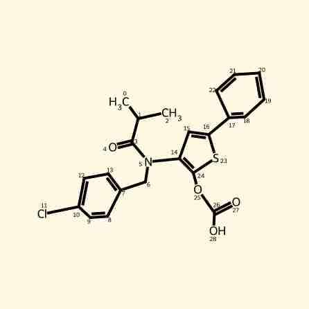 CC(C)C(=O)N(Cc1ccc(Cl)cc1)c1cc(-c2ccccc2)sc1OC(=O)O